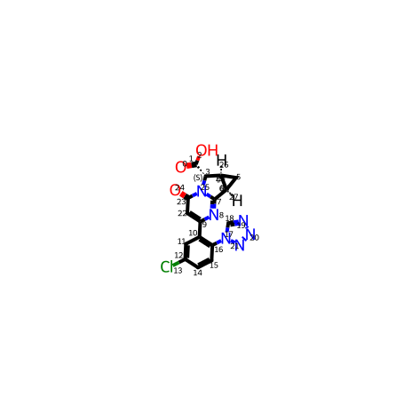 O=C(O)[C@@H]1[C@H]2C[C@H]2c2nc(-c3cc(Cl)ccc3-n3cnnn3)cc(=O)n21